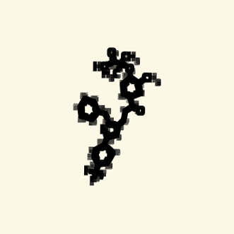 Cc1cc(C(=O)CCc2cc(-c3ccc(C(F)(F)F)cc3)nn2Cc2ccccc2)ccc1OC(C)(C)C(=O)O